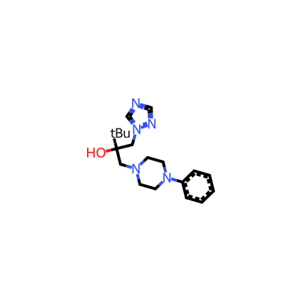 CC(C)(C)C(O)(CN1CCN(c2ccccc2)CC1)Cn1cncn1